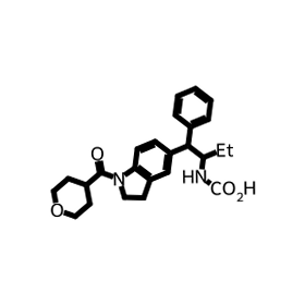 CCC(NC(=O)O)C(c1ccccc1)c1ccc2c(c1)CCN2C(=O)C1CCOCC1